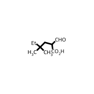 CCC(C)(C)CC(C=O)C(=O)O